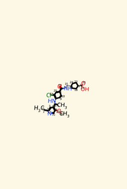 CCc1cc(C(C)Nc2ccc(C(=O)NC[C@H]3CC[C@H](C(=O)O)CC3)cc2Cl)c(OC)cn1